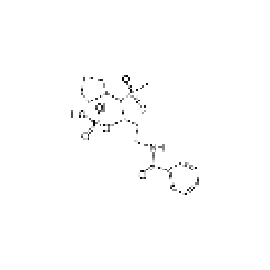 CS(=O)(=O)C(C1CCCC1)C(CCNC(=O)c1ccccc1)OP(=O)(O)O